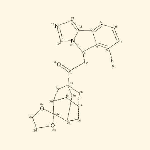 O=C(CC1c2c(F)cccc2-c2cncn21)C12CC3CC(C1)C1(OCCO1)C(C3)C2